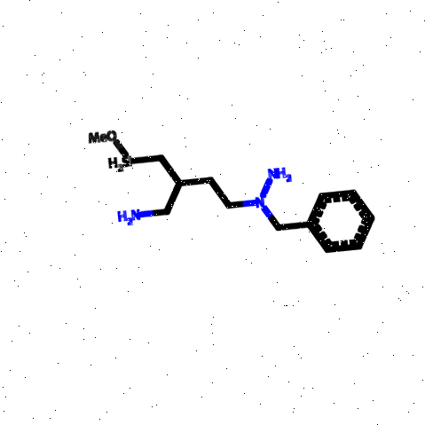 CO[SiH2]CC(CN)CCN(N)Cc1ccccc1